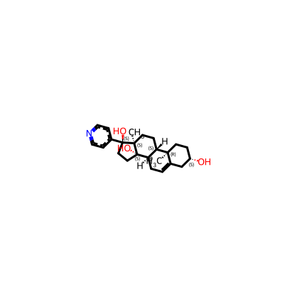 C[C@]12CC[C@H]3[C@@H](CC=C4C[C@@H](O)CC[C@@]43C)[C@@]1(O)CC[C@]2(O)c1ccncc1